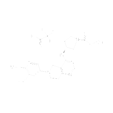 COc1ncc(N2CCc3ncnc(N[C@H]4CCN(C(=O)OC(C)(C)C)C4)c3C2)cc1C.O=C(O)C(F)(F)F